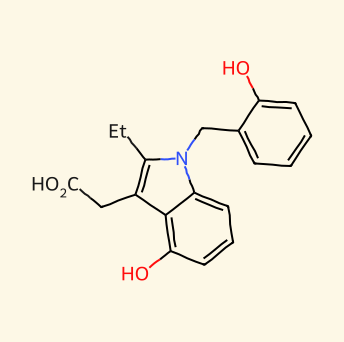 CCc1c(CC(=O)O)c2c(O)cccc2n1Cc1ccccc1O